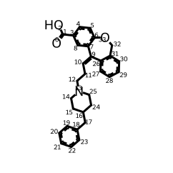 O=C(O)c1ccc2c(c1)/C(=C/CCN1CCC(Cc3ccccc3)CC1)c1ccccc1CO2